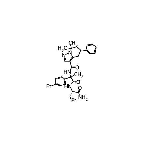 CCc1ccc(C(C)(NC(=O)c2cnn3c2C[C@H](c2ccccc2)CC3(C)C)C(=O)N[C@@H](CC(C)C)C(N)=O)cc1